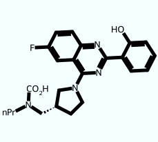 CCCN(C[C@H]1CCN(c2nc(-c3ccccc3O)nc3ccc(F)cc23)C1)C(=O)O